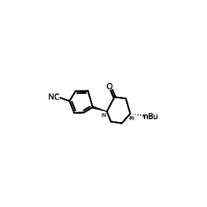 CCCC[C@@H]1CC[C@@H](c2ccc(C#N)cc2)C(=O)C1